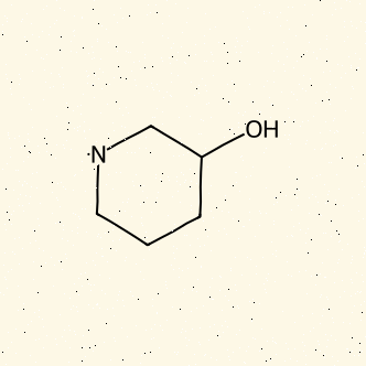 OC1CCC[N]C1